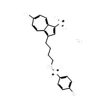 CC(C)c1ccc2c(CCCCNS(=O)(=O)c3ccc(Br)cc3)cc(S(=O)(=O)[O-])c-2cc1.[Na+]